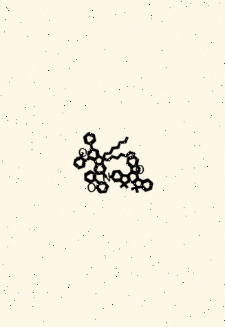 CCCCCCCC1(CCCCCCC)c2cc(N(c3ccc4c(c3)C(C)(C)c3c5c(c6oc7ccccc7c6c3-4)-c3ccccc3C5(C)C)c3cccc4oc5ccccc5c34)ccc2-c2c1cc(-c1ccccc1)c1oc3ccccc3c21